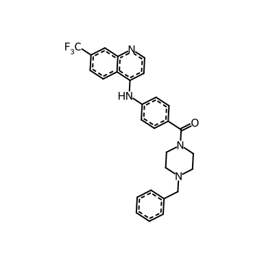 O=C(c1ccc(Nc2ccnc3cc(C(F)(F)F)ccc23)cc1)N1CCN(Cc2ccccc2)CC1